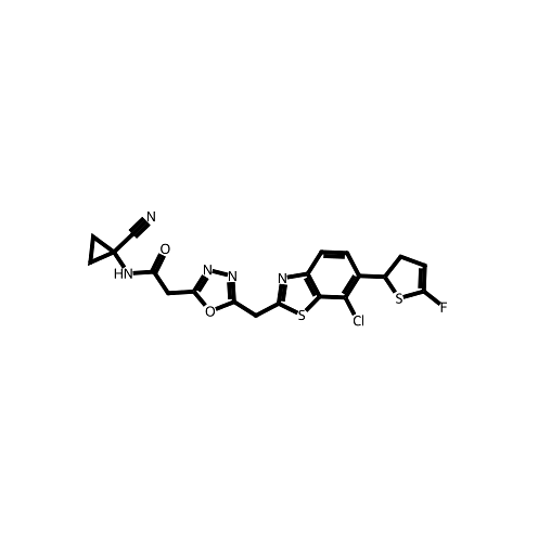 N#CC1(NC(=O)Cc2nnc(Cc3nc4ccc(C5CC=C(F)S5)c(Cl)c4s3)o2)CC1